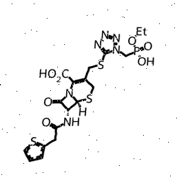 CCOP(=O)(O)Cn1nnnc1SCC1=C(C(=O)O)N2C(=O)[C@@H](NC(=O)Cc3cccs3)[C@H]2SC1